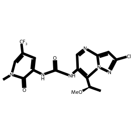 CO[C@H](C)c1c(NC(=O)Nc2cc(C(F)(F)F)cn(C)c2=O)cnc2cc(Cl)nn12